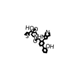 O=C(Cc1ccc(-c2ccccc2O)cc1-c1cc2ccncc2[nH]1)N1CCC(Cc2ccsc2)(C(=O)O)CC1